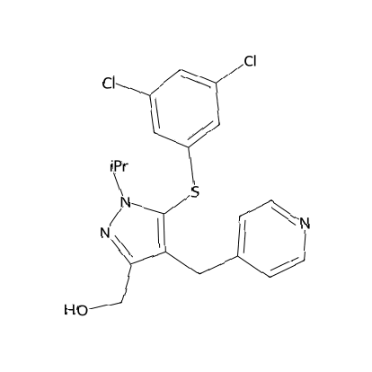 CC(C)n1nc(CO)c(Cc2ccncc2)c1Sc1cc(Cl)cc(Cl)c1